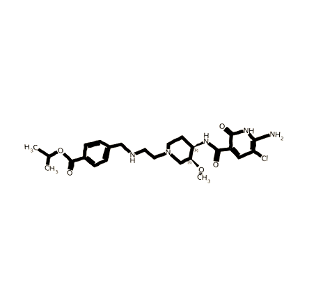 CO[C@H]1CN(CCNCc2ccc(C(=O)OC(C)C)cc2)CC[C@H]1NC(=O)c1cc(Cl)c(N)[nH]c1=O